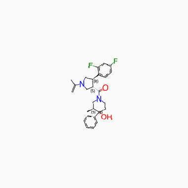 C=C(C)N1C[C@@H](C(=O)N2CC[C@](O)(c3ccccc3)[C@@H](C)C2)[C@H](c2ccc(F)cc2F)C1